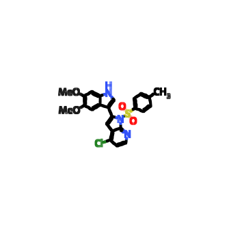 COc1cc2[nH]cc(-c3cc4c(Cl)ccnc4n3S(=O)(=O)c3ccc(C)cc3)c2cc1OC